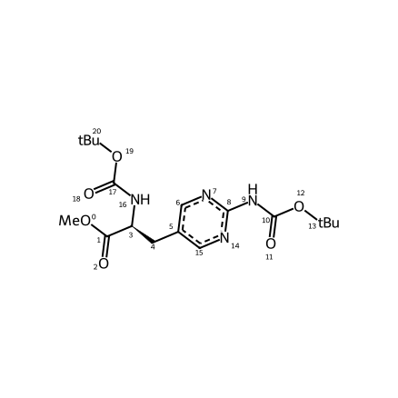 COC(=O)[C@H](Cc1cnc(NC(=O)OC(C)(C)C)nc1)NC(=O)OC(C)(C)C